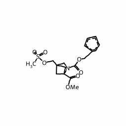 COC(=O)C12CC(COS(C)(=O)=O)(CN1C(=O)OCc1ccccc1)C2